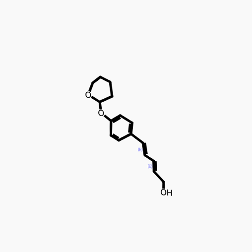 OC/C=C/C=C/c1ccc(OC2CCCCO2)cc1